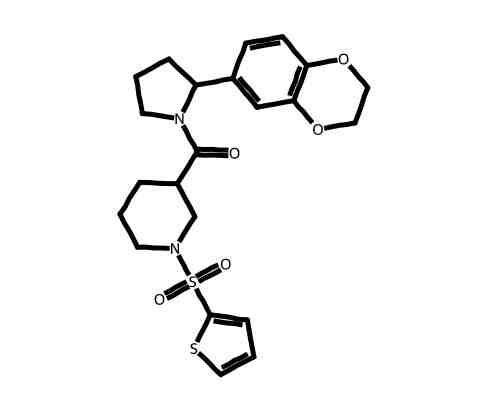 O=C(C1CCCN(S(=O)(=O)c2cccs2)C1)N1CCCC1c1ccc2c(c1)OCCO2